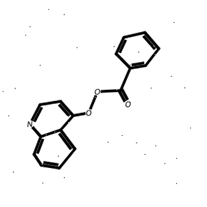 O=C(OOc1ccnc2ccccc12)c1ccccc1